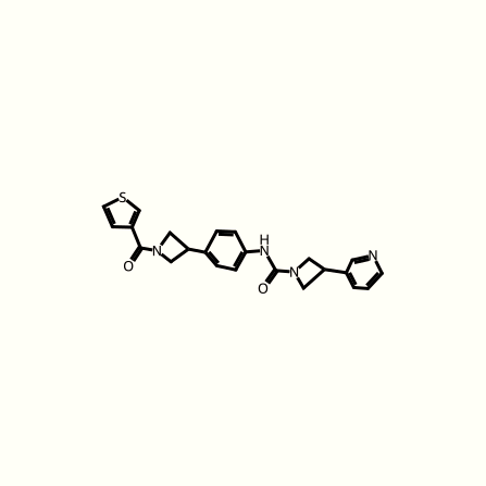 O=C(Nc1ccc(C2CN(C(=O)c3ccsc3)C2)cc1)N1CC(c2cccnc2)C1